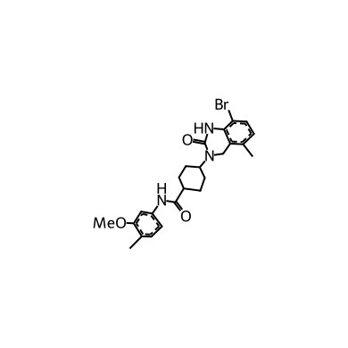 COc1cc(NC(=O)C2CCC(N3Cc4c(C)ccc(Br)c4NC3=O)CC2)ccc1C